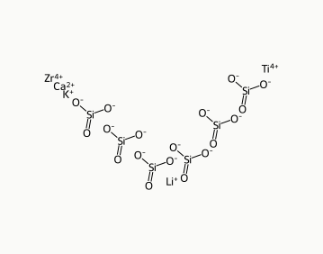 O=[Si]([O-])[O-].O=[Si]([O-])[O-].O=[Si]([O-])[O-].O=[Si]([O-])[O-].O=[Si]([O-])[O-].O=[Si]([O-])[O-].[Ca+2].[K+].[Li+].[Ti+4].[Zr+4]